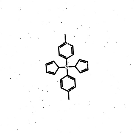 Cc1cc[c]([Zr]([c]2ccc(C)cc2)([CH]2C=CC=C2)[CH]2C=CC=C2)cc1